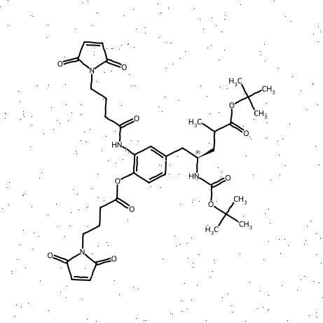 CC(C[C@H](Cc1ccc(OC(=O)CCCN2C(=O)C=CC2=O)c(NC(=O)CCCN2C(=O)C=CC2=O)c1)NC(=O)OC(C)(C)C)C(=O)OC(C)(C)C